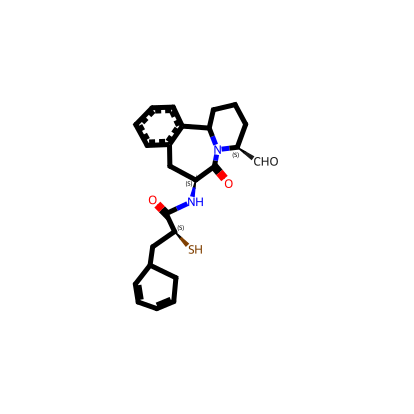 O=C[C@@H]1CCCC2c3ccccc3C[C@H](NC(=O)[C@@H](S)CC3C=CC=CC3)C(=O)N21